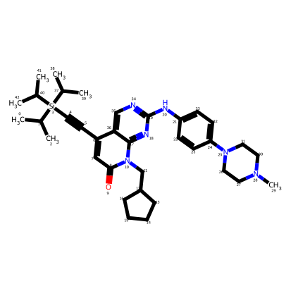 CC(C)[Si](C#Cc1cc(=O)n(CC2CCCC2)c2nc(Nc3ccc(N4CCN(C)CC4)cc3)ncc12)(C(C)C)C(C)C